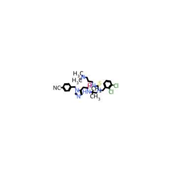 CN(C)CCCNC(=S)N(Cc1cccc(Cl)c1Cl)CC(C)(C)NC(=O)Cc1cncn1Cc1ccc(C#N)cc1